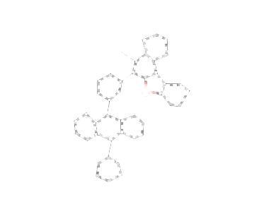 Cc1c(-c2cccc(-c3c4ccccc4c(-c4ccccc4)c4ccccc34)c2)c2oc3ccccc3c2c2ccccc12